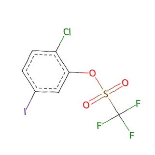 O=S(=O)(Oc1cc(I)ccc1Cl)C(F)(F)F